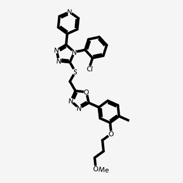 COCCCOc1cc(-c2nnc(CSc3nnc(-c4ccncc4)n3-c3ccccc3Cl)o2)ccc1C